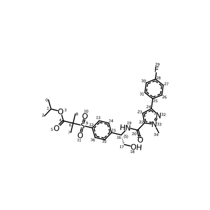 CC(C)OC(=O)C(C)(C)S(=O)(=O)c1ccc([C@@H](CO)NC(=O)c2cc(-c3ccc(F)cc3)nn2C)cc1